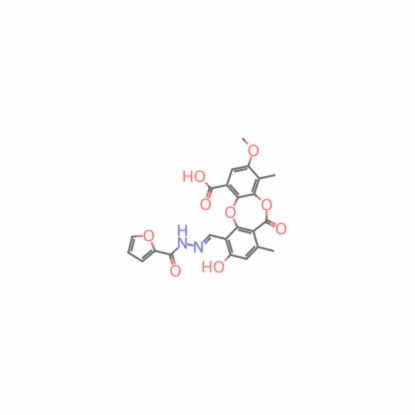 COc1cc(C(=O)O)c2c(c1C)OC(=O)c1c(C)cc(O)c(C=NNC(=O)c3ccco3)c1O2